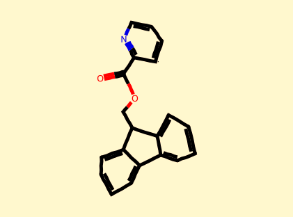 O=C(OCC1c2ccccc2-c2ccccc21)c1[c]cccn1